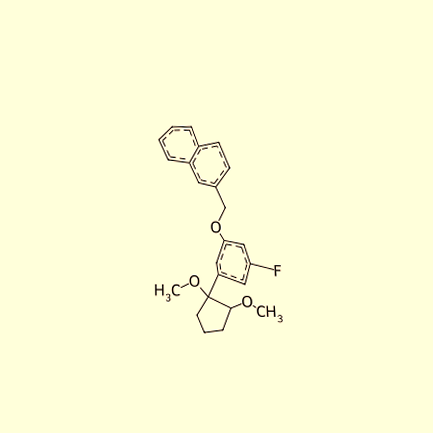 COC1CCCC1(OC)c1cc(F)cc(OCc2ccc3ccccc3c2)c1